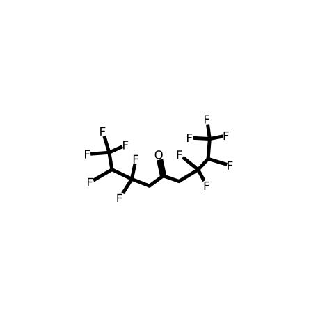 O=C(CC(F)(F)C(F)C(F)(F)F)CC(F)(F)C(F)C(F)(F)F